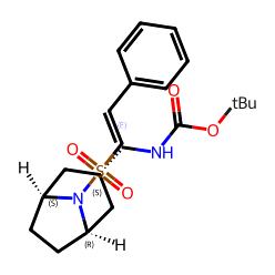 CC(C)(C)OC(=O)NC[C@@H]1C[C@H]2CC[C@@H](C1)N2S(=O)(=O)/C=C/c1ccccc1